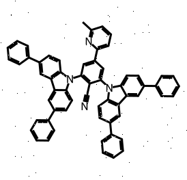 Cc1cccc(-c2cc(-n3c4ccc(-c5ccccc5)cc4c4cc(-c5ccccc5)ccc43)c(C#N)c(-n3c4ccc(-c5ccccc5)cc4c4cc(-c5ccccc5)ccc43)c2)n1